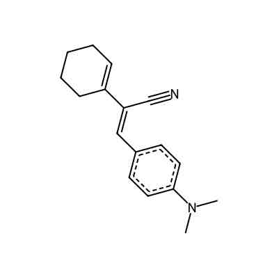 CN(C)c1ccc(C=C(C#N)C2=CCCCC2)cc1